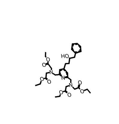 CCOC(=O)CN(CC(=O)OCC)Cc1cc(CCC(O)Cc2ccccc2)cc(CN(CC(=O)OCC)CC(=O)OCC)n1